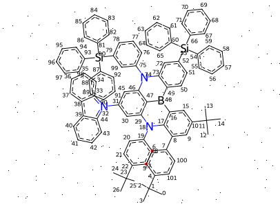 CC(C)(C)c1ccc(-c2cc(C(C)(C)C)cc3c2N(c2ccc(C(C)(C)C)cc2)c2cc(-n4c5ccccc5c5ccccc54)cc4c2B3c2ccc([Si](c3ccccc3)(c3ccccc3)c3ccccc3)cc2N4c2cccc([Si](c3ccccc3)(c3ccccc3)c3ccccc3)c2)cc1